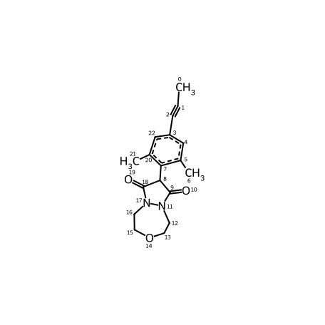 CC#Cc1cc(C)c(C2C(=O)N3CCOCCN3C2=O)c(C)c1